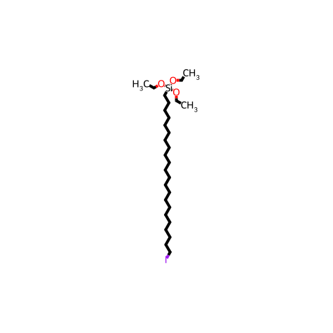 CCO[Si](CCCCCCCCCCCCCCCCCCCCCCI)(OCC)OCC